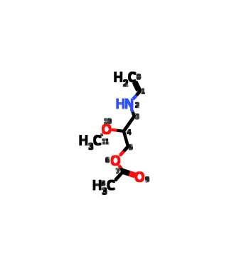 C=CNCC(COC(C)=O)OC